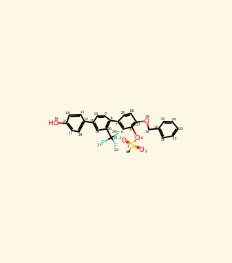 CS(=O)(=O)Oc1cc(-c2ccc(-c3ccc(O)cc3)cc2C(F)(F)F)ccc1OCc1ccccc1